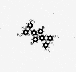 Cc1ccc(N(c2ccc([Si](c3ccc(Br)cc3)(c3ccc(Br)cc3)c3ccc(N(c4ccc(C)cc4C)c4ccc(C)cc4C)cc3)cc2)c2ccc(C)cc2C)c(C)c1